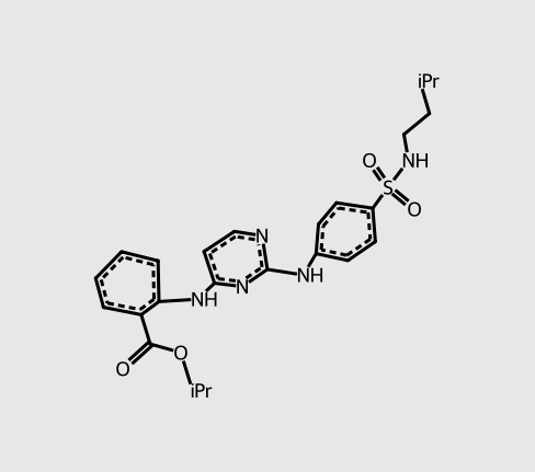 CC(C)CCNS(=O)(=O)c1ccc(Nc2nccc(Nc3ccccc3C(=O)OC(C)C)n2)cc1